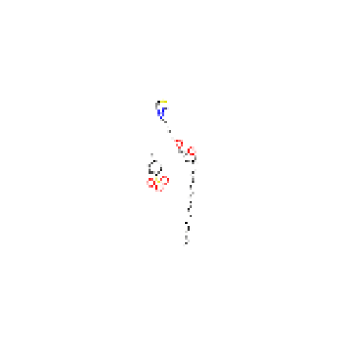 CCCCCCCCCCCCCC[C@H]1CO[C@H](COCCCCC[n+]2ccsc2)C1.Cc1ccc(S(=O)(=O)[O-])cc1